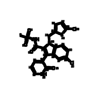 CS(=O)(=O)NC(=O)c1c(-c2ccc[nH]c2=O)c2cc(Cl)ccc2n1Cc1ccc(Cl)s1